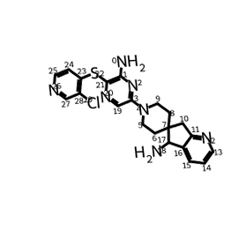 Nc1nc(N2CCC3(CC2)Cc2ncccc2C3N)cnc1Sc1ccncc1Cl